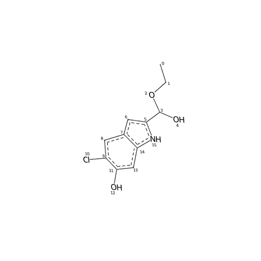 CCOC(O)c1cc2cc(Cl)c(O)cc2[nH]1